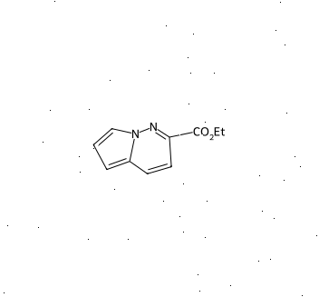 CCOC(=O)c1ccc2cccn2n1